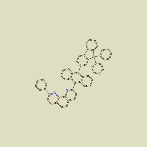 c1ccc(-c2ccc3ccc4ccc(-c5c6ccccc6c(-c6ccc7c(c6)C(c6ccccc6)(c6ccccc6)c6ccccc6-7)c6ccccc56)nc4c3n2)cc1